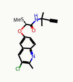 C#CC(C)(C)NC(=O)[C@@H](Oc1ccc2nc(C)c(Cl)cc2c1)SC